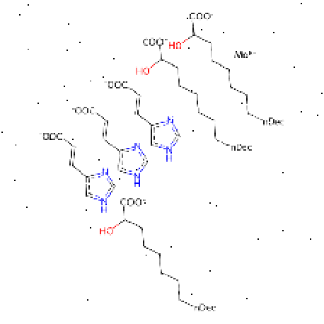 CCCCCCCCCCCCCCCCC(O)C(=O)[O-].CCCCCCCCCCCCCCCCC(O)C(=O)[O-].CCCCCCCCCCCCCCCCC(O)C(=O)[O-].O=C([O-])C=Cc1c[nH]cn1.O=C([O-])C=Cc1c[nH]cn1.O=C([O-])C=Cc1c[nH]cn1.[Mo+6]